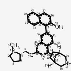 CN1CCC[C@H]1COc1nc(N2[C@@H]3CC[C@H]2CNC3)c2ccc(-c3c(O)ccc4ccccc34)cc2n1